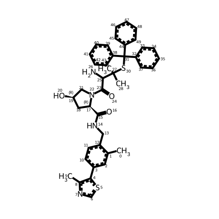 Cc1cc(-c2scnc2C)ccc1CNC(=O)[C@H]1C[C@@H](O)CN1C(=O)C(N)C(C)(C)SC(c1ccccc1)(c1ccccc1)c1ccccc1